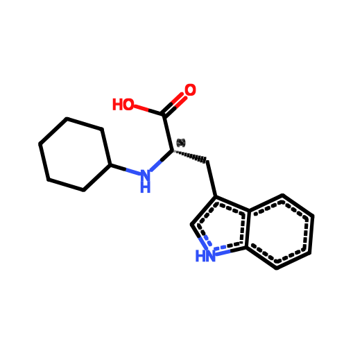 O=C(O)[C@H](Cc1c[nH]c2ccccc12)NC1CCCCC1